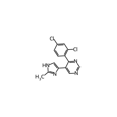 Cc1nc(-c2cn[c]nc2-c2ccc(Cl)cc2Cl)c[nH]1